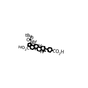 CC(C)(C)OC(=O)N[C@@H]1CC[C@]2(C(=O)O)CC[C@]3(C)[C@H](CC[C@@H]4[C@@]5(C)CC=C(C6=CCC(C(=O)O)CC6)C(C)(C)[C@@H]5CC[C@]43C)[C@@H]12